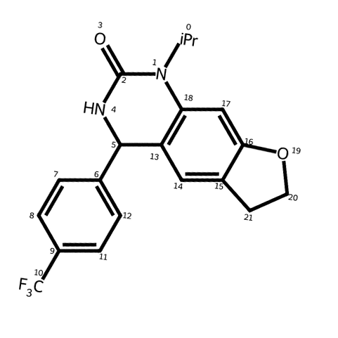 CC(C)N1C(=O)NC(c2ccc(C(F)(F)F)cc2)c2cc3c(cc21)OCC3